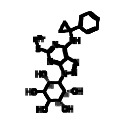 CCCSc1nc(NC2(c3ccccc3)CC2)c2nnn(C3[C@@H](O)C(O)C(O)[C@@H](O)[C@H]3O)c2n1